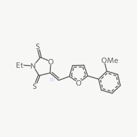 CCN1C(=S)O/C(=C\c2ccc(-c3ccccc3OC)o2)C1=S